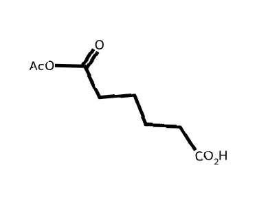 CC(=O)OC(=O)CCCCC(=O)O